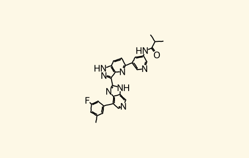 Cc1cc(F)cc(-c2cncc3[nH]c(-c4n[nH]c5ccc(-c6cncc(NC(=O)C(C)C)c6)nc45)nc23)c1